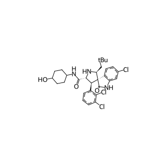 CC(C)(C)C[C@@H]1N[C@@H](C(=O)NC2CCC(O)CC2)[C@H](c2cccc(Cl)c2Cl)[C@]12C(=O)Nc1cc(Cl)ccc12